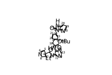 CCN(C(=O)c1ccncc1)c1cncnc1NC(Cc1ccc(-n2c(=O)[nH]c3cccnc32)cc1)C(=O)OC(C)(C)C